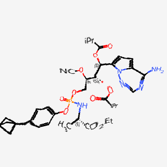 CCOC(=O)[C@H](C)NP(=O)(OC[C@@H](OC#N)[C@@H](OC(=O)C(C)C)[C@@H](OC(=O)C(C)C)c1ccc2c(N)ncnn12)Oc1ccc(C23CC(C2)C3)cc1